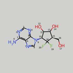 Nc1ncnc2c1ncn2[C@H]1C(O)C(O)[C@@H](CO)C1(F)F